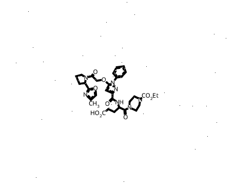 CCOC(=O)N1CCN(C(=O)C(CCC(=O)O)NC(=O)c2cc(OCC(=O)N3CCCC3c3nc(C)co3)n(-c3ccccc3)n2)CC1